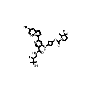 CC1N(C(=O)OC2CC(Nc3cc(-c4ccc5cc(C#N)cnn45)ncc3C(=O)NCC(F)C(C)(C)O)C2)CCC1(F)F